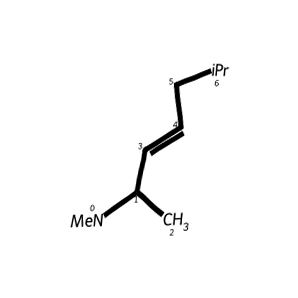 CNC(C)/C=C/CC(C)C